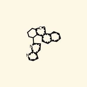 c1cnc2nc(C3CCCc4ccc5c(ccc6ccccc65)c43)ccc2c1